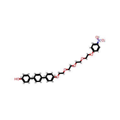 O=[N+]([O-])c1ccc(OCCOCCOCCOCCOc2ccc(-c3ccc(-c4ccc(O)cc4)cc3)cc2)cc1